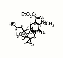 CCOC(=O)c1nn(C)c2c1CCN(CC1(S(=O)(=O)C(C)(C)CCO)CC1)C2=O